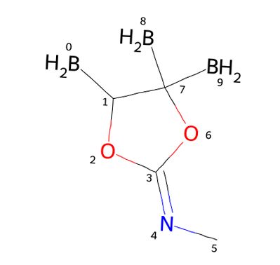 BC1O/C(=N/C)OC1(B)B